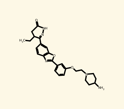 CCC1CC(=O)NN=C1c1ccc2nc(-c3cccc(OCCN4CCC(N)CC4)c3)oc2c1